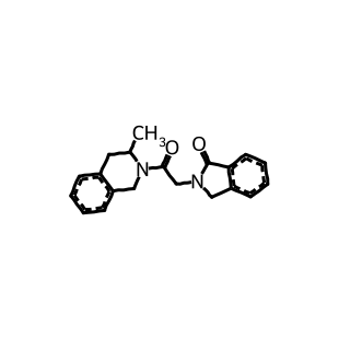 CC1Cc2ccccc2CN1C(=O)CN1Cc2ccccc2C1=O